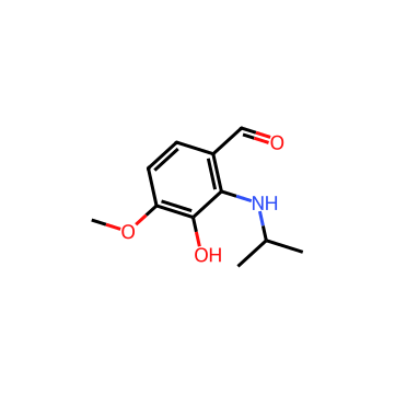 COc1ccc(C=O)c(NC(C)C)c1O